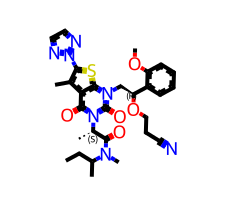 CCC(C)N(C)C(=O)[C@H](C)n1c(=O)c2c(C)c(-n3nccn3)sc2n(C[C@H](OCCC#N)c2ccccc2OC)c1=O